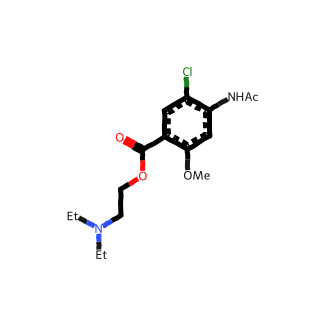 CCN(CC)CCOC(=O)c1cc(Cl)c(NC(C)=O)cc1OC